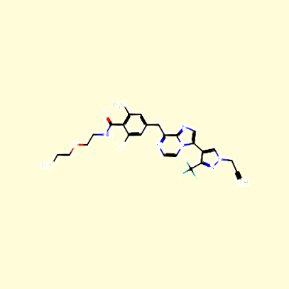 C#CCn1cc(-c2cnc3c(Cc4cc(C)c(C(=O)NCCOCCC)c(C)c4)nccn23)c(C(F)(F)F)n1